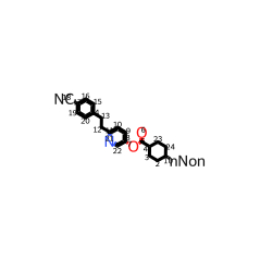 CCCCCCCCCC1CCC(C(=O)Oc2ccc(CCc3ccc(C#N)cc3)nc2)CC1